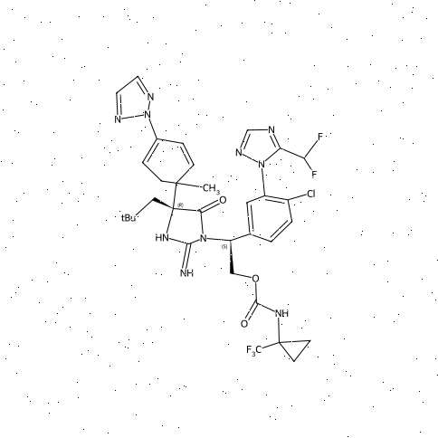 CC(C)(C)C[C@]1(C2(C)C=CC(n3nccn3)=CC2)NC(=N)N([C@H](COC(=O)NC2(C(F)(F)F)CC2)c2ccc(Cl)c(-n3ncnc3C(F)F)c2)C1=O